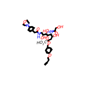 C#CCCOc1ccc(CO[C@]2(C(=O)O)C[C@H](O)[C@@H](NC(=O)CO)[C@H]([C@H](O)[C@H](O)CNC(=O)Cc3ccc(N4CCOCC4)cc3)O2)cc1